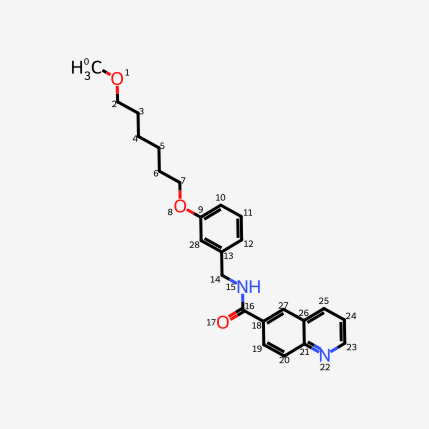 COCCCCCCOc1cccc(CNC(=O)c2ccc3ncccc3c2)c1